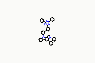 c1ccc(C2=NC(c3cccc(-c4cccc(-n5c6ccccc6c6cc(-c7ccccc7)c7c(ccn7-c7ccccc7)c65)c4)c3)NC(c3ccccc3)=N2)cc1